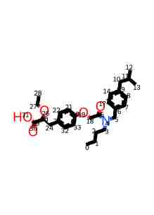 CCCCN(Cc1ccc(CC(C)C)cc1)C(=O)COc1ccc(C[C@H](OCC)C(=O)O)cc1